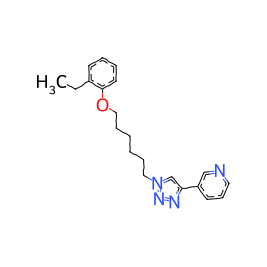 CCc1ccccc1OCCCCCCn1cc(-c2cccnc2)nn1